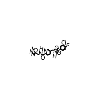 Cc1nnc(CNC(=O)c2ccc(CNS(=O)(=O)c3ccc(F)c(Cl)c3)cn2)o1